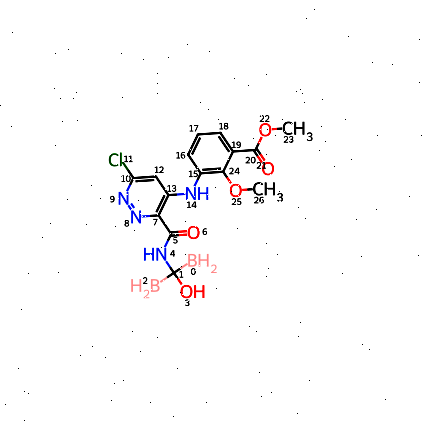 BC(B)(O)NC(=O)c1nnc(Cl)cc1Nc1cccc(C(=O)OC)c1OC